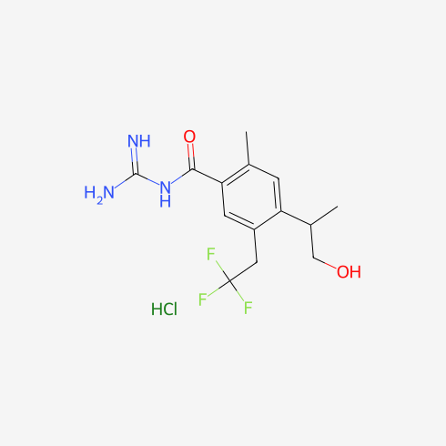 Cc1cc(C(C)CO)c(CC(F)(F)F)cc1C(=O)NC(=N)N.Cl